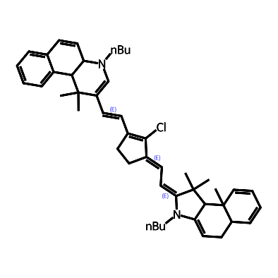 CCCCN1C2=CCC3C=CC=CC3(C)C2C(C)(C)/C1=C\C=C1/CCC(/C=C/C2=CN(CCCC)C3C=Cc4ccccc4C3C2(C)C)=C1Cl